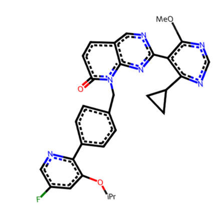 COc1ncnc(C2CC2)c1-c1ncc2ccc(=O)n(Cc3ccc(-c4ncc(F)cc4OC(C)C)cc3)c2n1